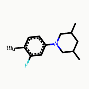 CC1CC(C)CN(c2ccc(C(C)(C)C)c(F)c2)C1